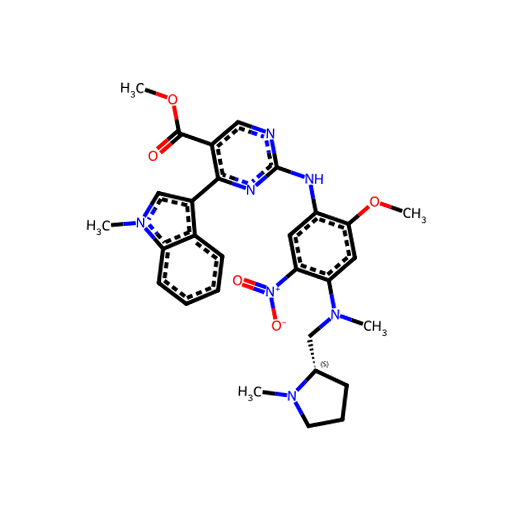 COC(=O)c1cnc(Nc2cc([N+](=O)[O-])c(N(C)C[C@@H]3CCCN3C)cc2OC)nc1-c1cn(C)c2ccccc12